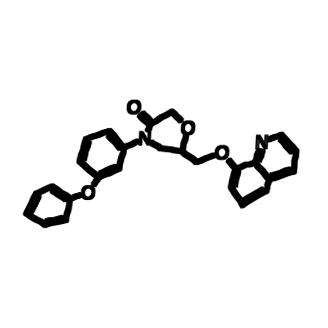 O=C1COC(COc2cccc3cccnc23)CN1c1cccc(Oc2ccccc2)c1